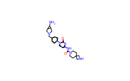 NC1C2CN(Cc3ccc(-n4ccc(NC(=O)N5CCC6(CC5)CNC6)nc4=O)cc3)CC12